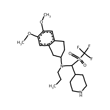 CCCN(C1CCc2cc(OC)c(OC)cc2C1)C(C1CCNCC1)S(=O)(=O)C(F)(F)F